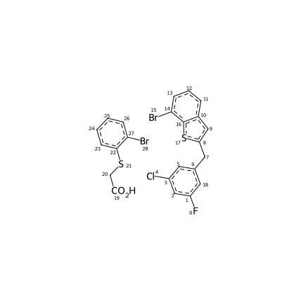 Fc1cc(Cl)cc(Cc2cc3cccc(Br)c3s2)c1.O=C(O)CSc1ccccc1Br